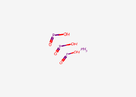 O=PO.O=PO.O=PO.P